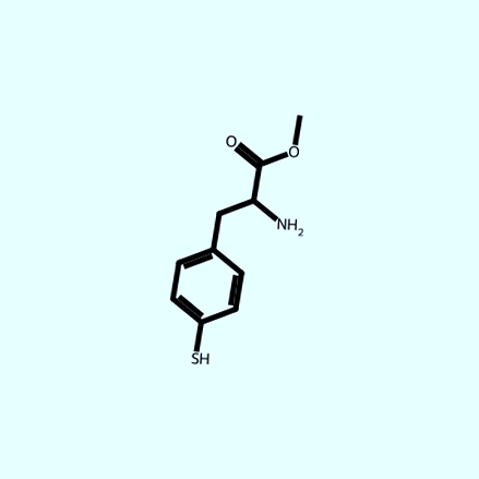 COC(=O)C(N)Cc1ccc(S)cc1